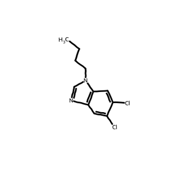 CCCCn1cnc2cc(Cl)c(Cl)cc21